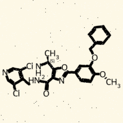 COc1ccc(-c2nc(C(=O)NCc3c(Cl)cncc3Cl)c([C@H](C)N)o2)cc1OCc1ccccc1